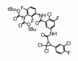 CC(C)(C)OC(=O)N(C(=O)OC(C)(C)C)c1c(F)ccc(NC(=O)c2cc(NC(=O)C3C(c4ccc(F)c(Cl)c4)C3(Cl)Cl)cc(F)c2Cl)c1F